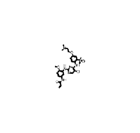 C=CC(=O)Nc1ccc(OC)c(Nc2ncc(Cl)c(Nc3ccc(OCCN(C)C)cc3P(C)(C)=O)n2)c1